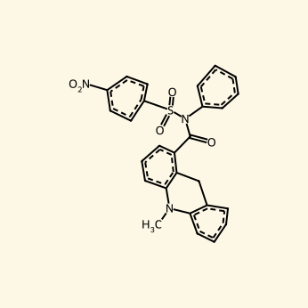 CN1c2ccccc2Cc2c(C(=O)N(c3ccccc3)S(=O)(=O)c3ccc([N+](=O)[O-])cc3)cccc21